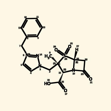 C[C@@]1(Cn2cc[n+](Cc3ccccc3)n2)[C@@H](C(=O)O)N2C(=O)C[C@H]2S1(=O)=O